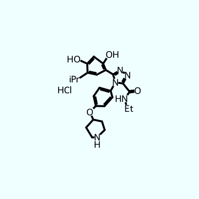 CCNC(=O)c1nnc(-c2cc(C(C)C)c(O)cc2O)n1-c1ccc(OC2CCNCC2)cc1.Cl